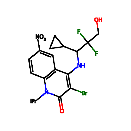 CC(C)n1c(=O)c(Br)c(NC(C2CC2)C(F)(F)CO)c2cc([N+](=O)[O-])ccc21